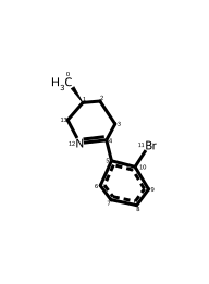 C[C@H]1CCC(c2ccccc2Br)=NC1